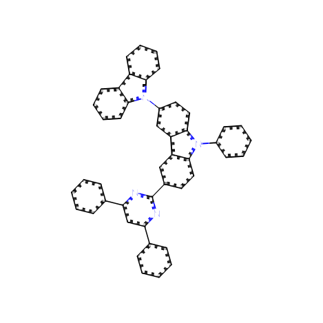 c1ccc(-c2cc(-c3ccccc3)nc(-c3ccc4c(c3)c3cc(-n5c6ccccc6c6ccccc65)ccc3n4-c3ccccc3)n2)cc1